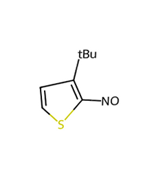 CC(C)(C)c1ccsc1N=O